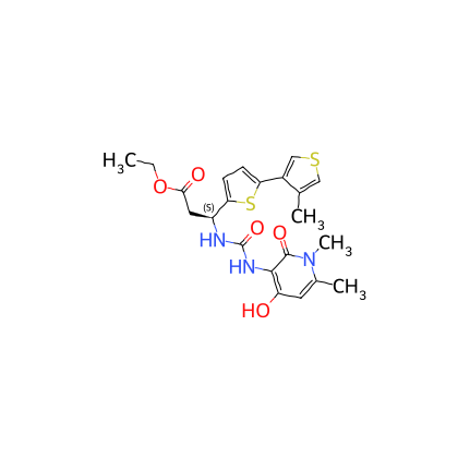 CCOC(=O)C[C@H](NC(=O)Nc1c(O)cc(C)n(C)c1=O)c1ccc(-c2cscc2C)s1